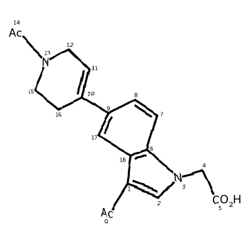 CC(=O)c1cn(CC(=O)O)c2ccc(C3=CCN(C(C)=O)CC3)cc12